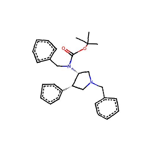 CC(C)(C)OC(=O)N(Cc1ccccc1)[C@@H]1CN(Cc2ccccc2)C[C@@H]1c1ccccc1